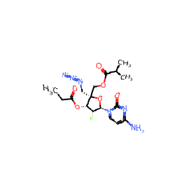 CCC(=O)O[C@H]1[C@@H](F)[C@H](n2ccc(N)nc2=O)O[C@]1(CN=[N+]=[N-])COC(=O)C(C)C